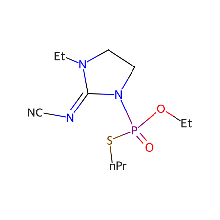 CCCSP(=O)(OCC)N1CCN(CC)/C1=N\C#N